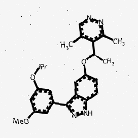 COc1cc(OC(C)C)cc(-c2n[nH]c3ccc(O[C@H](C)c4c(C)cnnc4C)cc23)c1